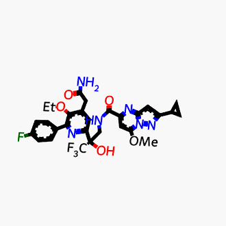 CCOc1c(CC(N)=O)cc([C@@](O)(CNC(=O)c2cc(OC)n3nc(C4CC4)cc3n2)C(F)(F)F)nc1-c1ccc(F)cc1